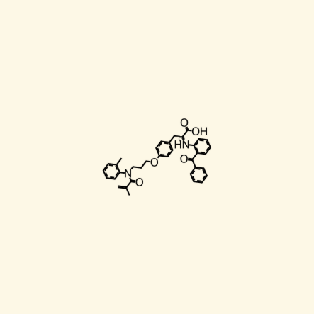 C=C(C)C(=O)N(CCCOc1ccc(C[C@H](Nc2ccccc2C(=O)c2ccccc2)C(=O)O)cc1)c1ccccc1C